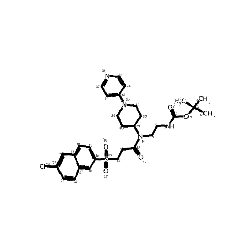 CC(C)(C)OC(=O)NCCN(C(=O)CCS(=O)(=O)c1ccc2cc(Cl)ccc2c1)C1CCN(c2ccncc2)CC1